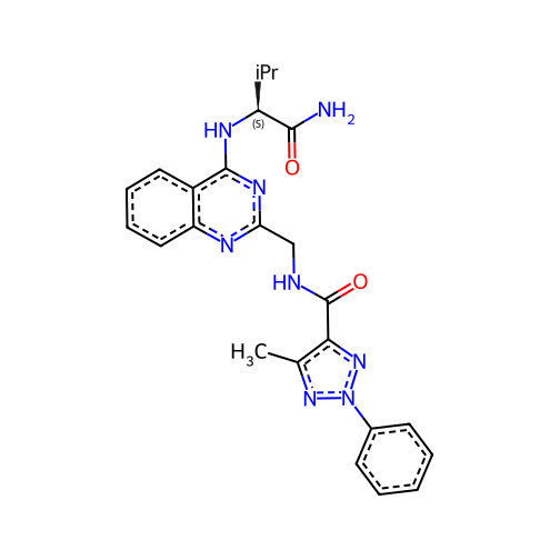 Cc1nn(-c2ccccc2)nc1C(=O)NCc1nc(N[C@H](C(N)=O)C(C)C)c2ccccc2n1